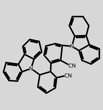 N#CC1=CC=CC(n2c3ccccc3c3ccccc32)C1c1cccc(-n2c3c(c4ccccc42)CCC=C3)c1C#N